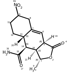 C[C@H]1OC(=O)[C@@H]2C=C3CC([N+](=O)[O-])CC[C@H]3[C@H](C(N)=O)[C@H]12